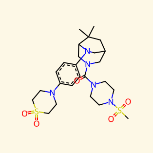 CC1(C)CC2CN(C(=O)N3CCN(S(C)(=O)=O)CC3)CC1N(c1ccc(N3CCS(=O)(=O)CC3)cc1)C2